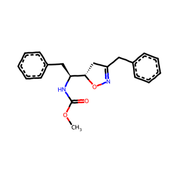 COC(=O)N[C@@H](Cc1ccccc1)[C@@H]1CC(Cc2ccccc2)=NO1